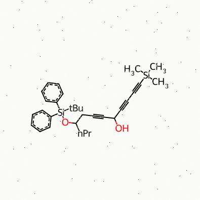 CCCC(CC#CC(O)C#CC#C[Si](C)(C)C)O[Si](c1ccccc1)(c1ccccc1)C(C)(C)C